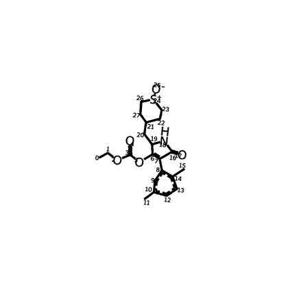 CCOC(=O)OC1=C(c2cc(C)ccc2C)C(=O)NC1CC1CC[S+]([O-])CC1